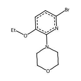 CCOc1ccc(Br)nc1N1CCOCC1